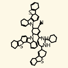 N#CC1C=C(C2C=CC(C3C=C4C(CC3)SC3CC=CCC43)NC(C3CCCCC3)N2)C(N2C3=C(C4C=CC=CC42)C2SC4=C(CCCC4)C2C=C3)CC1N1C2=C(C3CCC=CC31)C1SC3=C(CCC=C3)C1C=C2